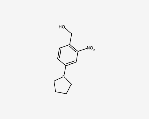 O=[N+]([O-])c1cc(N2CCCC2)ccc1CO